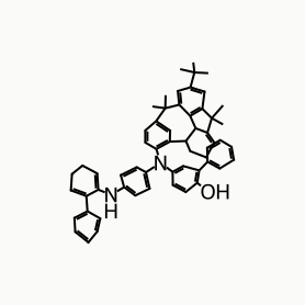 CC(C)(C)c1cc2c3c(c1)C(C)(C)c1ccc(N(c4ccc(NC5=CCCC=C5c5ccccc5)cc4)c4ccc(O)c(-c5ccccc5)c4)c(c1)C1CCC=C(C31)C2(C)C